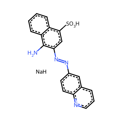 Nc1c(N=Nc2ccc3ncccc3c2)cc(S(=O)(=O)O)c2ccccc12.[NaH]